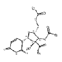 CCC(=O)OC[C@H]1O[C@@H](n2ccc(=O)[nH]c2=O)[C@@](O)(C(=O)CC)[C@@H]1OC(=O)CC